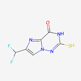 O=c1[nH]c(S)nn2cc(C(F)F)nc12